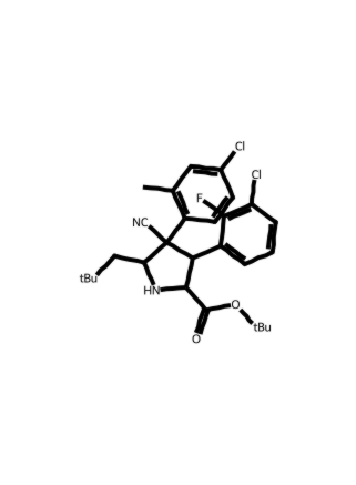 Cc1cc(Cl)ccc1C1(C#N)C(CC(C)(C)C)NC(C(=O)OC(C)(C)C)C1c1cccc(Cl)c1F